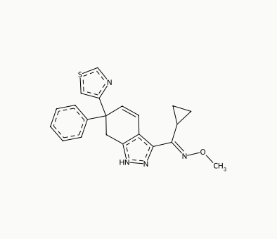 CO/N=C(/c1n[nH]c2c1C=CC(c1ccccc1)(c1cscn1)C2)C1CC1